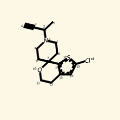 C#CC(C)N1CCC2(CC1)OCCc1cc(Cl)sc12